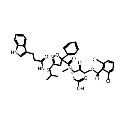 CC(C)[C@H](NC(=O)CCc1c[nH]c2ccccc12)C1=NOC(C(=O)N(C)[C@@H](CC(=O)O)C(=O)COC(=O)c2c(Cl)cccc2Cl)(c2ccccc2)C1